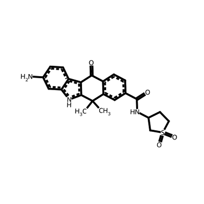 CC1(C)c2cc(C(=O)NC3CCS(=O)(=O)C3)ccc2C(=O)c2c1[nH]c1cc(N)ccc21